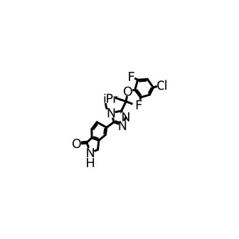 CC(C)Cn1c(-c2ccc3c(c2)CNC3=O)nnc1C(C)(C)Oc1c(F)cc(Cl)cc1F